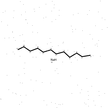 CCCCCCCCCCCC.[NaH]